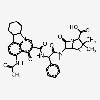 CC(=O)Nc1ccc2c3c1c(=O)c(C(=O)NC(C(=O)NC1C(=O)N4C1SC(C)(C)C4C(=O)O)c1ccccc1)cn3C1CCCCC21